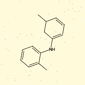 Cc1ccccc1NC1=CC=CC(C)C1